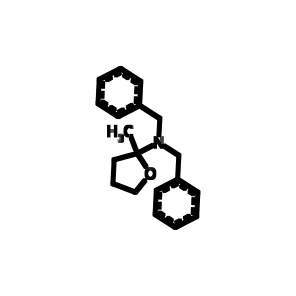 CC1(N(Cc2ccccc2)Cc2ccccc2)CCCO1